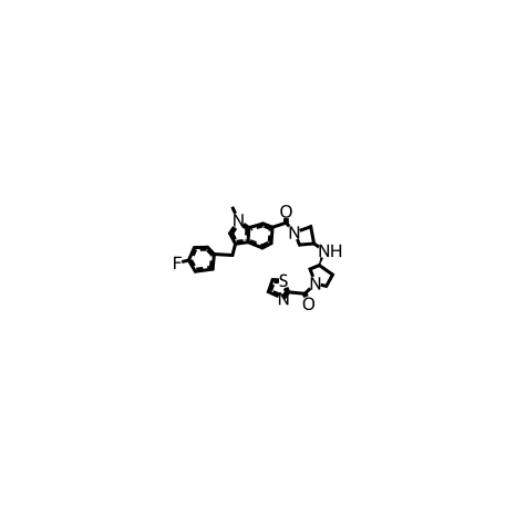 Cn1cc(Cc2ccc(F)cc2)c2ccc(C(=O)N3CC(N[C@H]4CCN(C(=O)c5nccs5)C4)C3)cc21